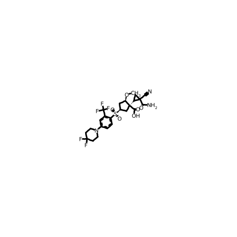 CO[C@@H]1C[C@H](S(=O)(=O)c2ccc(N3CCC(F)(F)CC3)cc2C(F)(F)F)C[C@@]1(C(=O)O)C1CC1(C#N)C(N)=O